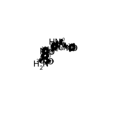 C=C(NCCN1CCOCC1)Nc1ccc(Oc2ccnc3cc(OC)c(C(N)=O)cc23)cc1Cl